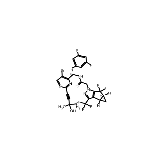 CC(C)(O)C#Cc1ncc(Br)c([C@H](Cc2cc(F)cc(F)c2)NC(=O)Cn2nc(C(F)(F)F)c3c2C(F)(F)[C@@H]2C[C@H]32)n1